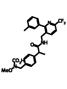 CON(Cc1ccc(C(C)C(=O)NCc2ccc(C(F)(F)F)nc2-c2cccc(C)c2)cc1)C(=O)O